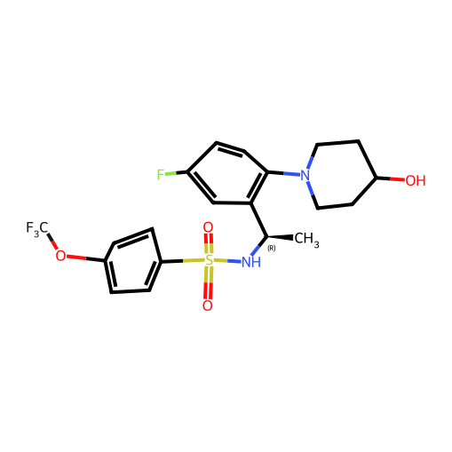 C[C@@H](NS(=O)(=O)c1ccc(OC(F)(F)F)cc1)c1cc(F)ccc1N1CCC(O)CC1